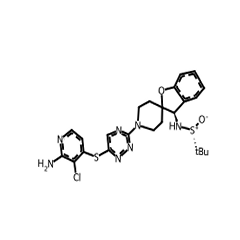 CC(C)(C)[S@@+]([O-])N[C@@H]1c2ccccc2OC12CCN(c1ncc(Sc3ccnc(N)c3Cl)nn1)CC2